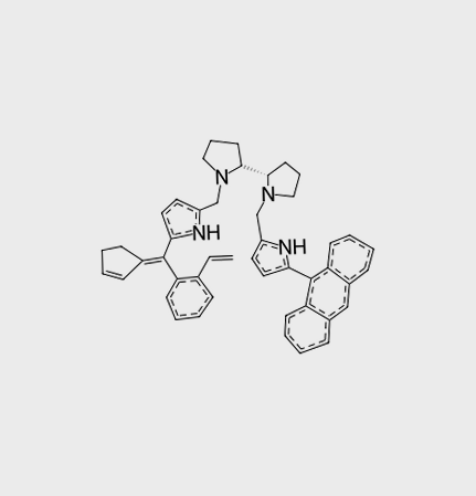 C=Cc1ccccc1/C(=C1\C=CCC1)c1ccc(CN2CCCC2[C@@H]2CCCN2Cc2ccc(-c3c4ccccc4cc4ccccc34)[nH]2)[nH]1